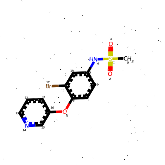 CS(=O)(=O)Nc1ccc(Oc2cccnc2)c(Br)c1